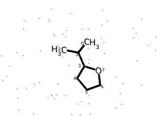 C[C](C)C1CCCO1